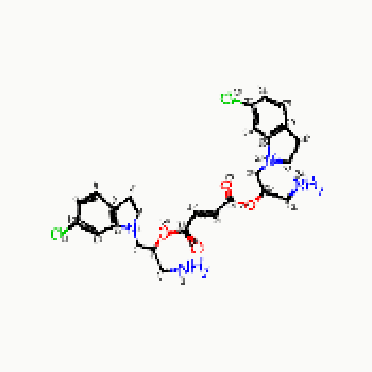 NCC(CN1CCc2ccc(Cl)cc21)OC(=O)/C=C/C(=O)OC(CN)CN1CCc2ccc(Cl)cc21